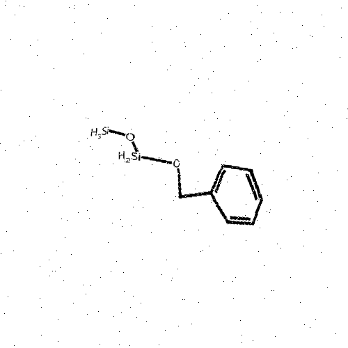 [SiH3]O[SiH2]OCc1ccccc1